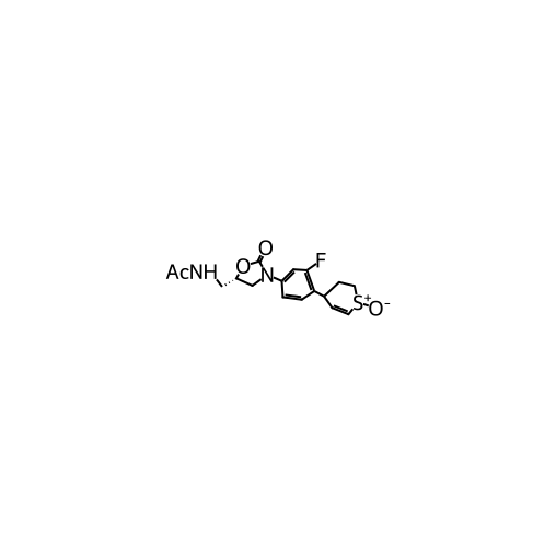 CC(=O)NC[C@H]1CN(c2ccc(C3C=C[S+]([O-])CC3)c(F)c2)C(=O)O1